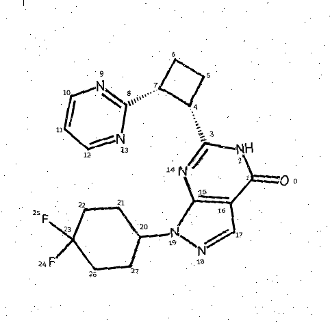 O=c1[nH]c([C@H]2CC[C@H]2c2ncccn2)nc2c1cnn2C1CCC(F)(F)CC1